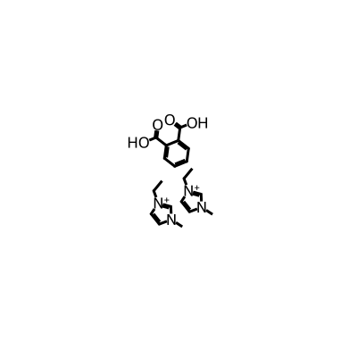 CC[n+]1ccn(C)c1.CC[n+]1ccn(C)c1.O=C(O)c1ccccc1C(=O)O